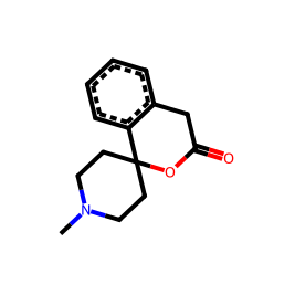 CN1CCC2(CC1)OC(=O)Cc1ccccc12